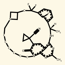 Cc1nc2c3cc(C4(C#N)CC4)c(=O)n(c3n1)CCCCCCCN1CC(C1)CC(F)(F)c1cccc(c1F)[C@H](C)N2